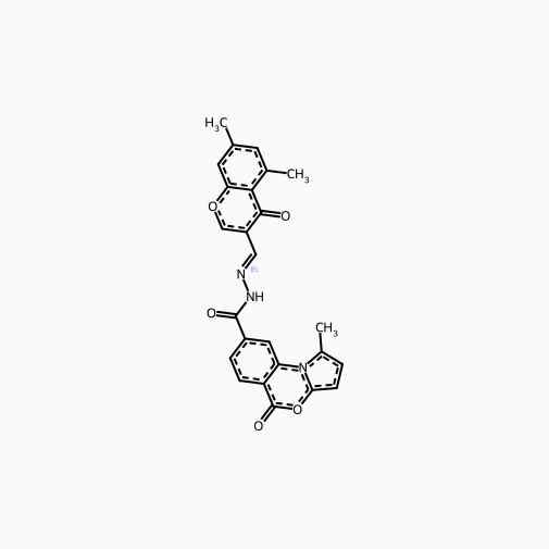 Cc1cc(C)c2c(=O)c(/C=N/NC(=O)c3ccc4c(=O)oc5ccc(C)n5c4c3)coc2c1